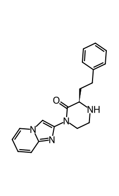 O=C1[C@@H](CCc2ccccc2)NCCN1c1cn2ccccc2n1